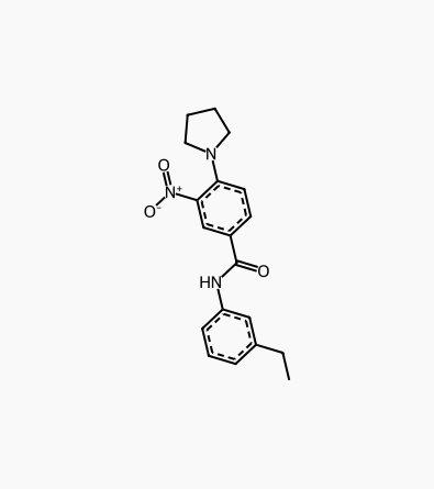 CCc1cccc(NC(=O)c2ccc(N3CCCC3)c([N+](=O)[O-])c2)c1